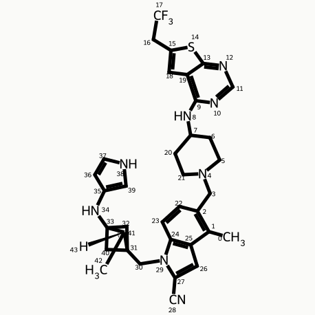 Cc1c(CN2CCC(Nc3ncnc4sc(CC(F)(F)F)cc34)CC2)ccc2c1cc(C#N)n2CC12CC(Nc3cc[nH]c3)(C1)[C@H]2C